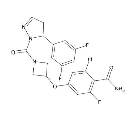 NC(=O)c1c(F)cc(OC2CN(C(=O)N3N=CCC3c3cc(F)cc(F)c3)C2)cc1Cl